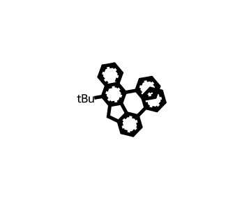 CC(C)(C)c1c2c(c(-c3ccccc3)c3ccccc13)-c1c(cccc1-c1ccccc1)C2